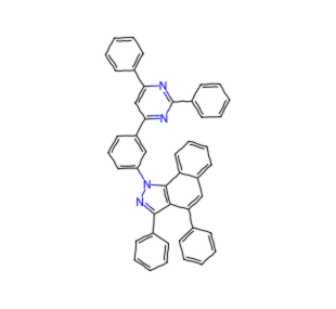 c1ccc(-c2cc(-c3cccc(-n4nc(-c5ccccc5)c5c(-c6ccccc6)cc6ccccc6c54)c3)nc(-c3ccccc3)n2)cc1